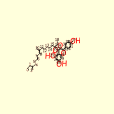 CCC(C)CCCCCC(C)CCCCCCC(C)OC1C(=O)c2c(O)cc(O)cc2OC1c1ccc(O)cc1